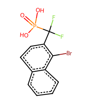 O=P(O)(O)C(F)(F)c1ccc2ccccc2c1Br